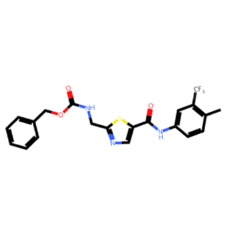 Cc1ccc(NC(=O)c2cnc(CNC(=O)OCc3ccccc3)s2)cc1C(F)(F)F